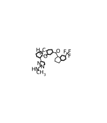 CNc1nccc(-c2cccnc2Oc2cc(C(=O)C3CCCc4ccc(C(F)(F)F)cc43)ccc2C)n1